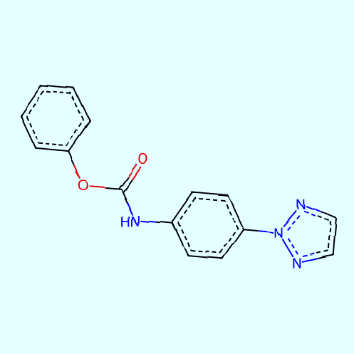 O=C(Nc1ccc(-n2nccn2)cc1)Oc1ccccc1